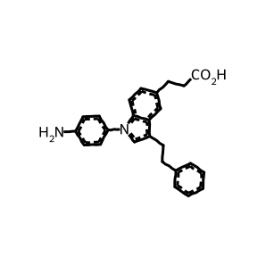 Nc1ccc(-n2cc(CCc3ccccc3)c3cc(CCC(=O)O)ccc32)cc1